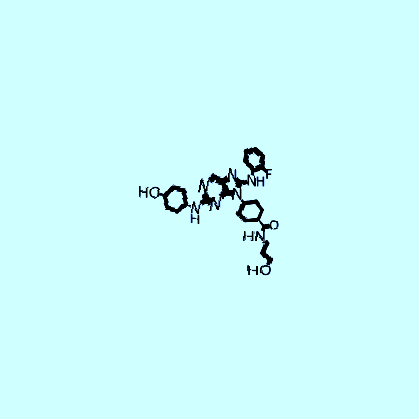 O=C(NCCCO)[C@H]1CC[C@@H](n2c(Nc3ccccc3F)nc3cnc(N[C@H]4CC[C@H](O)CC4)nc32)CC1